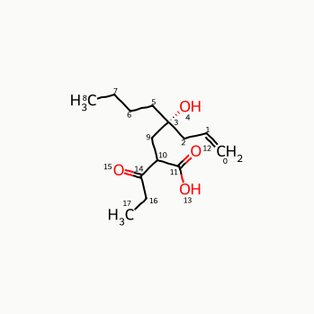 C=CC[C@](O)(CCCC)CC(C(=O)O)C(=O)CC